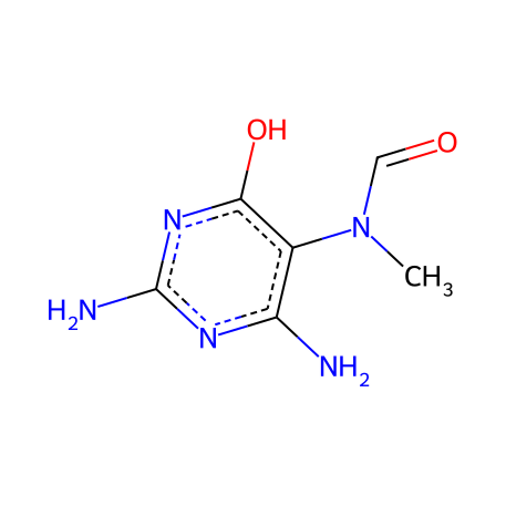 CN(C=O)c1c(N)nc(N)nc1O